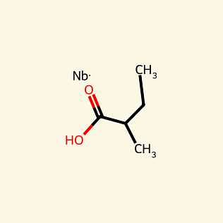 CCC(C)C(=O)O.[Nb]